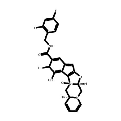 O=C(NCc1ccc(F)cc1F)C1=CC2=CC3=C(C2=C(O)C1O)[N+]1([O-])C[C@@H]2C=CC=CN2C[C@H]1O3